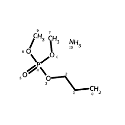 CCCOP(=O)(OC)OC.N